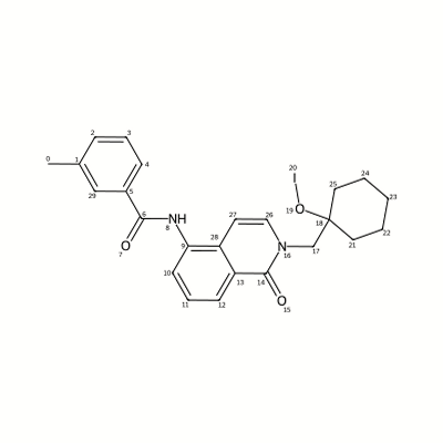 Cc1cccc(C(=O)Nc2cccc3c(=O)n(CC4(OI)CCCCC4)ccc23)c1